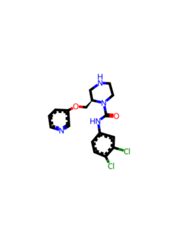 O=C(Nc1ccc(Cl)c(Cl)c1)N1CCNC[C@@H]1COc1cccnc1